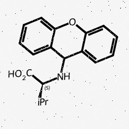 CC(C)[C@H](NC1c2ccccc2Oc2ccccc21)C(=O)O